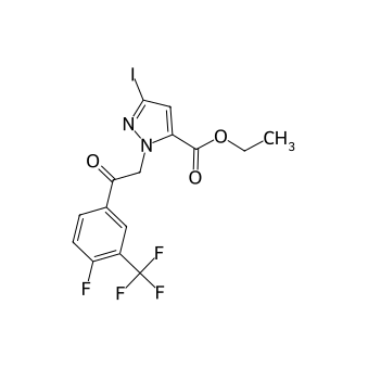 CCOC(=O)c1cc(I)nn1CC(=O)c1ccc(F)c(C(F)(F)F)c1